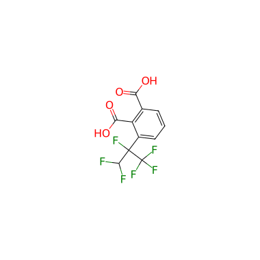 O=C(O)c1cccc(C(F)(C(F)F)C(F)(F)F)c1C(=O)O